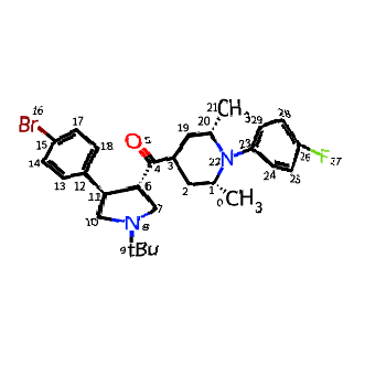 C[C@@H]1CC(C(=O)[C@@H]2CN(C(C)(C)C)C[C@H]2c2ccc(Br)cc2)C[C@H](C)N1c1ccc(F)cc1